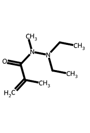 C=C(C)C(=O)N(C)N(CC)CC